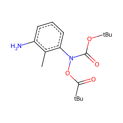 Cc1c(N)cccc1N(OC(=O)C(C)(C)C)C(=O)OC(C)(C)C